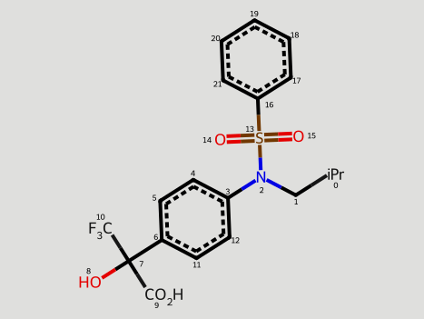 CC(C)CN(c1ccc(C(O)(C(=O)O)C(F)(F)F)cc1)S(=O)(=O)c1ccccc1